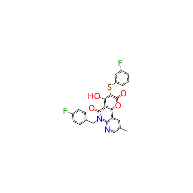 Cc1cnc2c(c1)c1oc(=O)c(Sc3cccc(F)c3)c(O)c1c(=O)n2Cc1ccc(F)cc1